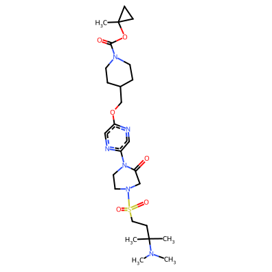 CN(C)C(C)(C)CCS(=O)(=O)N1CCN(c2cnc(OCC3CCN(C(=O)OC4(C)CC4)CC3)cn2)C(=O)C1